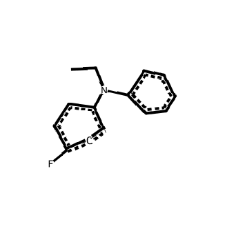 CCN(c1ccccc1)c1ccc(F)cc1